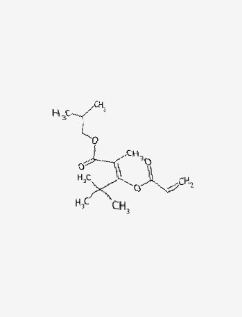 C=CC(=O)OC(=C(C)C(=O)OCC(C)C)C(C)(C)C